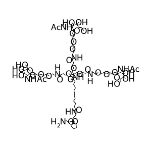 CC(=O)NC1C(OCCOCCOCCNC(=O)CCOCC(COCCC(=O)NCCOCCOCCOC2OC(CO)C(O)C(O)C2NC(C)=O)(COCCC(=O)NCCOCCOCCOC2OC(CO)C(O)C(O)C2NC(C)=O)NC(=O)CCCCCCCCCCC(=O)NCCOC2(OCCN)CCCC2)OC(CO)C(O)C1O